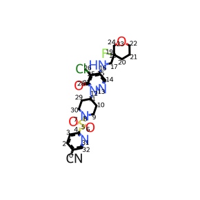 N#Cc1ccc(S(=O)(=O)N2CCC(n3ncc(NC[C@@]4(F)CCCOC4)c(Cl)c3=O)CC2)nc1